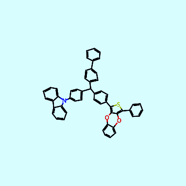 c1ccc(-c2ccc(C(c3ccc(-c4sc(-c5ccccc5)c5c4Oc4ccccc4O5)cc3)c3ccc(-n4c5ccccc5c5ccccc54)cc3)cc2)cc1